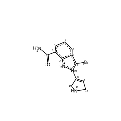 NC(=O)c1cccc2c(Br)n(C3=CCNC3)nc12